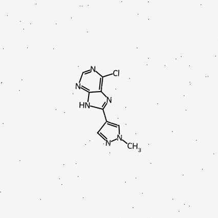 Cn1cc(-c2nc3c(Cl)ncnc3[nH]2)cn1